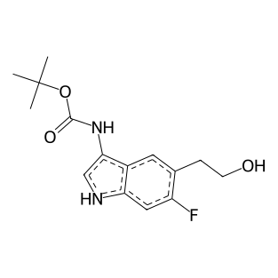 CC(C)(C)OC(=O)Nc1c[nH]c2cc(F)c(CCO)cc12